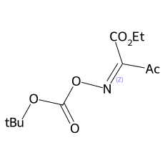 CCOC(=O)/C(=N\OC(=O)OC(C)(C)C)C(C)=O